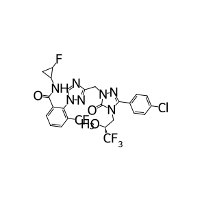 O=C(NC1CC1F)c1cccc(C(F)(F)F)c1-n1cnc(Cn2nc(-c3ccc(Cl)cc3)n(C[C@H](O)C(F)(F)F)c2=O)n1